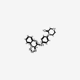 O=C1COCCN1c1ccc(Nc2nc3ccccc3n3nnnc23)cc1